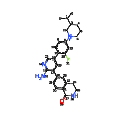 CC(C)C1CCCN(c2ccc(-c3cnc(N)c(-c4ccc5c(c4)CCNC5=O)c3)c(F)c2)C1